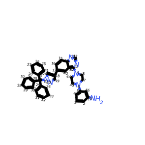 Nc1cccc(N2CCN(c3ncnc4ccc(-c5cnn(C(c6ccccc6)(c6ccccc6)c6ccccc6)c5)cc34)CC2)c1